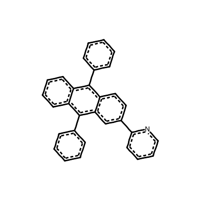 c1ccc(-c2c3ccccc3c(-c3ccccc3)c3cc(-c4ccccn4)ccc23)cc1